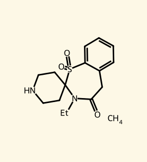 C.CCN1C(=O)Cc2ccccc2S(=O)(=O)C12CCNCC2